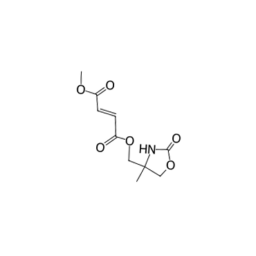 COC(=O)/C=C/C(=O)OCC1(C)COC(=O)N1